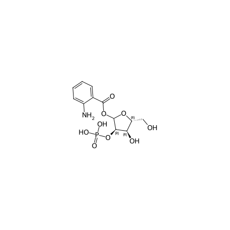 Nc1ccccc1C(=O)OC1O[C@H](CO)[C@@H](O)[C@H]1OP(=O)(O)O